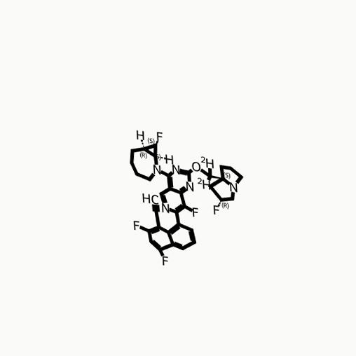 [2H]C([2H])(Oc1nc(N2CCCC[C@H]3[C@H](F)[C@H]32)c2cnc(-c3cccc4c(F)cc(F)c(C#C)c34)c(F)c2n1)[C@@]12CCCN1C[C@H](F)C2